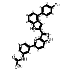 CCCCC(=O)Nc1cncc(-c2ccc3[nH]nc(-c4cc5c(-c6ccc(F)cc6)cccc5[nH]4)c3n2)c1